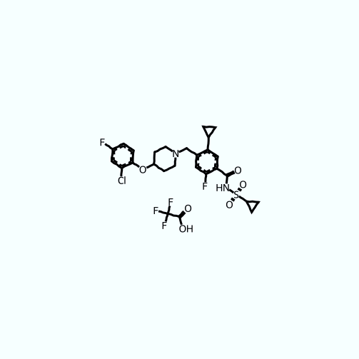 O=C(NS(=O)(=O)C1CC1)c1cc(C2CC2)c(CN2CCC(Oc3ccc(F)cc3Cl)CC2)cc1F.O=C(O)C(F)(F)F